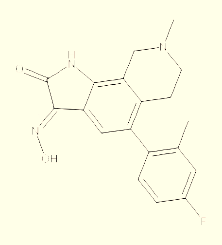 Cc1cc(F)ccc1-c1cc2c(c3c1CCN(C)C3)NC(=O)/C2=N/O